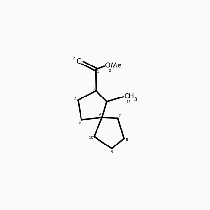 COC(=O)C1CCC2(CCCC2)C1C